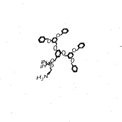 CC(C)N(C(C)C)P(OCCC#CN)OCc1cc(OCc2cc(OCc3ccccc3)cc(OCc3ccccc3)c2)cc(OCc2cc(OCc3ccccc3)cc(OCc3ccccc3)c2)c1